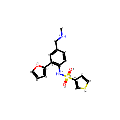 CNCc1ccc(NS(=O)(=O)c2ccsc2)c(-c2ccco2)c1